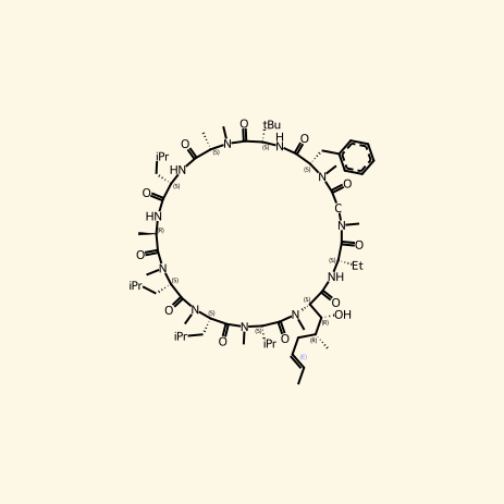 C/C=C/C[C@@H](C)[C@@H](O)[C@H]1C(=O)N[C@@H](CC)C(=O)N(C)CC(=O)N(C)[C@@H](Cc2ccccc2)C(=O)N[C@@H](C(C)(C)C)C(=O)N(C)[C@@H](C)C(=O)N[C@@H](CC(C)C)C(=O)N[C@H](C)C(=O)N(C)[C@@H](CC(C)C)C(=O)N(C)[C@@H](CC(C)C)C(=O)N(C)[C@@H](C(C)C)C(=O)N1C